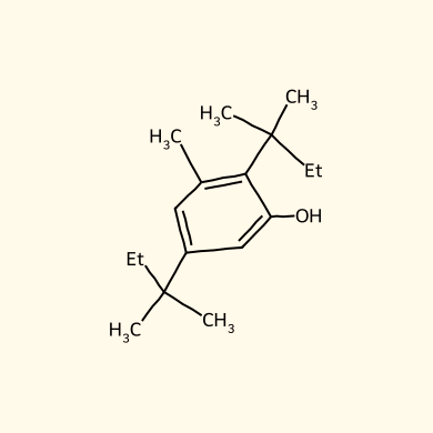 CCC(C)(C)c1cc(C)c(C(C)(C)CC)c(O)c1